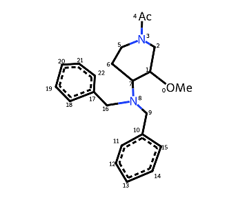 COC1CN(C(C)=O)CCC1N(Cc1ccccc1)Cc1ccccc1